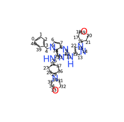 c1ccc(Cn2ccc3nc(Nc4cnn(C5CCOCC5)c4)nc(N[C@H]4CC[C@H](N5CCOCC5)CC4)c32)cc1